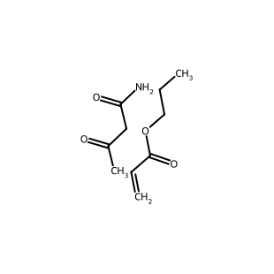 C=CC(=O)OCCC.CC(=O)CC(N)=O